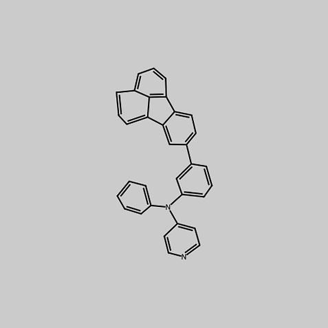 c1ccc(N(c2ccncc2)c2cccc(-c3ccc4c(c3)-c3cccc5cccc-4c35)c2)cc1